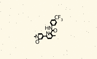 Cc1ccc(-c2ccn(C)c(=O)c2)nc1C(=O)Nc1ccc(C(F)(F)F)cc1